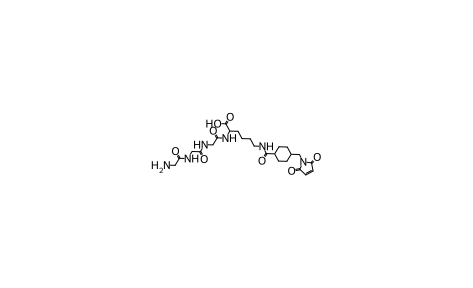 NCC(=O)NCC(=O)NCC(=O)NC(CCCCNC(=O)C1CCC(CN2C(=O)C=CC2=O)CC1)C(=O)O